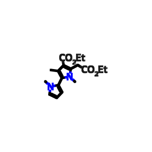 CCOC(=O)Cc1c(C(=O)OCC)c(C)c(-c2cccn2C)n1C